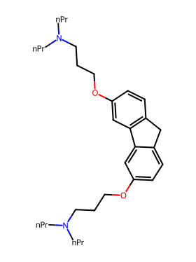 CCCN(CCC)CCCOc1ccc2c(c1)-c1cc(OCCCN(CCC)CCC)ccc1C2